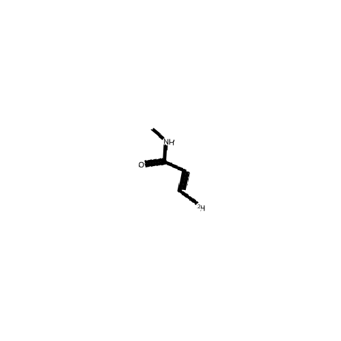 [2H]/C=C/C(=O)NC